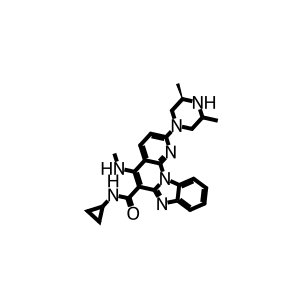 CNc1c(C(=O)NC2CC2)c2nc3ccccc3n2c2nc(N3CC(C)N[C@H](C)C3)ccc12